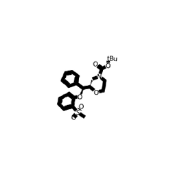 CC(C)(C)OC(=O)N1CCO[C@H]([C@@H](Oc2ccccc2S(C)(=O)=O)c2ccccc2)C1